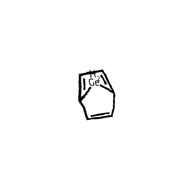 C1=C[C]2=CC=[C]1[GeH2]2